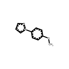 COc1ccc(-n2cc[c]n2)cc1